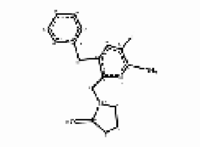 Nc1nc(CN2CCCC2=O)c(Cc2ccccc2)cc1I